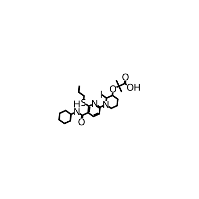 CCCSc1nc(N2CCCC(OC(C)(C)C(=O)O)C2I)ccc1C(=O)NC1CCCCC1